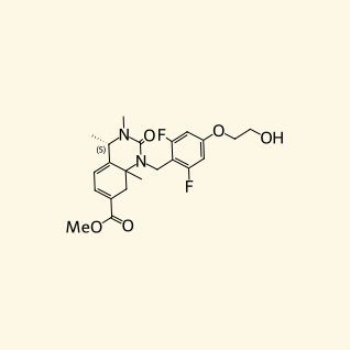 COC(=O)C1=CC=C2[C@H](C)N(C)C(=O)N(Cc3c(F)cc(OCCO)cc3F)C2(C)C1